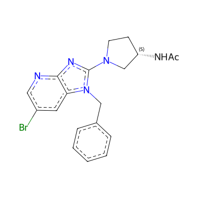 CC(=O)N[C@H]1CCN(c2nc3ncc(Br)cc3n2Cc2ccccc2)C1